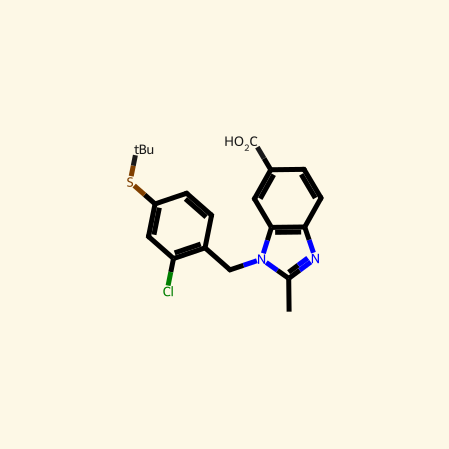 Cc1nc2ccc(C(=O)O)cc2n1Cc1ccc(SC(C)(C)C)cc1Cl